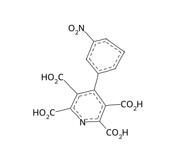 O=C(O)c1nc(C(=O)O)c(C(=O)O)c(-c2cccc([N+](=O)[O-])c2)c1C(=O)O